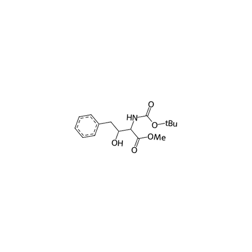 COC(=O)C(NC(=O)OC(C)(C)C)C(O)Cc1ccccc1